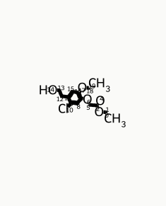 CCOC(=O)COc1cc(Cl)c(CCO)cc1OCC